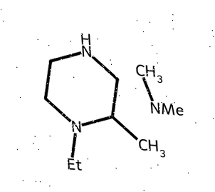 CCN1CCNCC1C.CNC